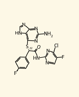 Nc1nc(S[C@H](C(=O)Nc2ncc(F)c(Cl)n2)c2ccc(F)cc2)c2[nH]cnc2n1